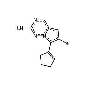 Nc1ncc2cc(Br)c(C3=CCCC3)n2n1